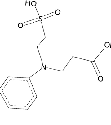 O=C(O)CCN(CCS(=O)(=O)O)c1ccccc1